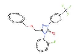 O=c1n(-c2ccc(C(F)(F)F)cc2)nc(COCc2ccccc2)n1-c1ccccc1F